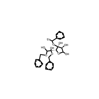 CCC(O[C@]1(O)[C@@H](C(O)(OCc2ccccc2)C(O)OCc2ccccc2)OC(O)[C@@H]1O)c1ccccc1